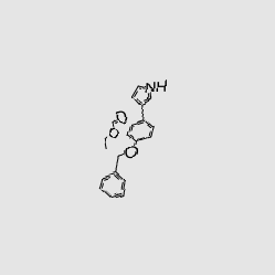 CCOC=O.c1ccc(COc2ccc(-c3cc[nH]c3)cc2)cc1